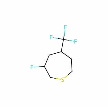 FC1CSCCC(C(F)(F)F)C1